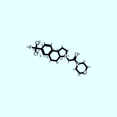 O=C(CN1CCC2c3ccc(C(F)(C(F)(F)F)C(F)(F)F)cc3CCC21)N1CCOCC1